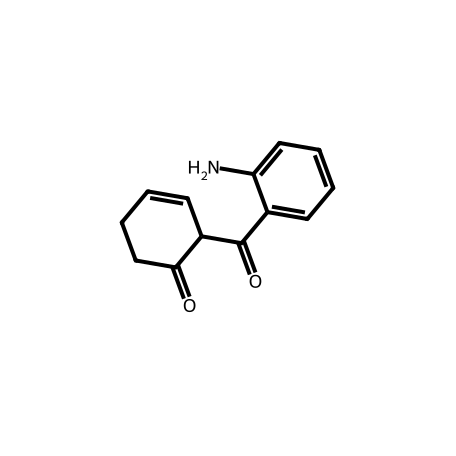 Nc1ccccc1C(=O)C1C=CCCC1=O